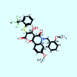 COc1ccc2c3oc(=O)c(Sc4ccccc4C(F)(F)F)c(O)c3c(=O)n(Cc3ccccc3OC)c2c1